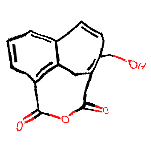 O=C1OC(=O)c2c(O)ccc3cccc1c23